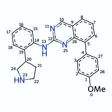 COc1ccc(-c2cccc3cnc(Nc4ccccc4C4CCNC4)nc23)cc1